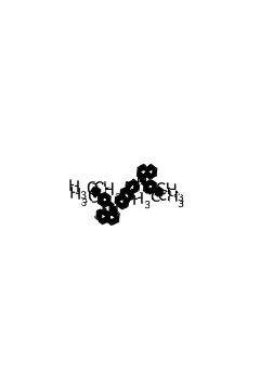 CC(C)(C)c1ccc(N(c2ccc3cc4cc(N(c5ccc(C(C)(C)C)cc5)c5cccc6ccccc56)ccc4cc3c2)c2cccc3ccccc23)cc1